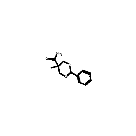 CC1(C(N)=O)COC(c2ccccc2)OC1